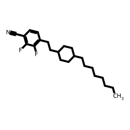 CCCCCCCCC1CCC(CCc2ccc(C#N)c(F)c2F)CC1